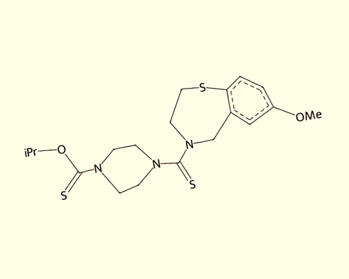 COc1ccc2c(c1)CN(C(=S)N1CCN(C(=S)OC(C)C)CC1)CCS2